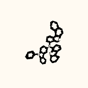 c1ccc(-n2c3ccccc3c3cc(N(c4cccc5c4ccc4ccc6ccccc6c45)c4cccc5c4sc4ccccc45)ccc32)cc1